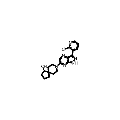 C[C@@H]1CCCC12CCN(c1cnc3c(-c4cccnc4Cl)n[nH]c3n1)CC2